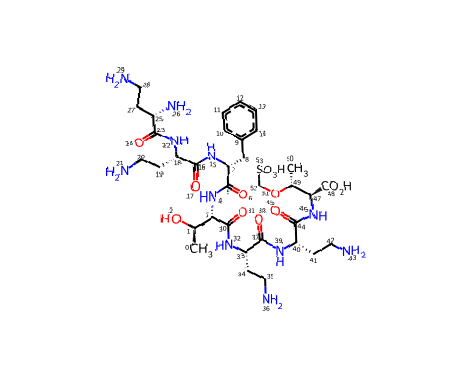 C[C@@H](O)[C@H](NC(=O)[C@@H](Cc1ccccc1)NC(=O)[C@H](CCN)NC(=O)[C@@H](N)CCN)C(=O)N[C@@H](CCN)C(=O)N[C@@H](CCN)C(=O)N[C@H](C(=O)O)[C@@H](C)OCS(=O)(=O)O